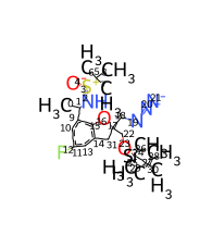 CC(N[S@+]([O-])C(C)(C)C)c1cc(F)cc2c1OC(CN=[N+]=[N-])(CO[Si](C)(C)C(C)(C)C)C2